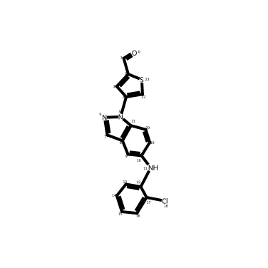 O=Cc1cc(-n2ncc3cc(Nc4ccccc4Cl)ccc32)cs1